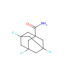 NC(=O)C12CC3(F)CC(F)(CC(F)(C3)C1)C2